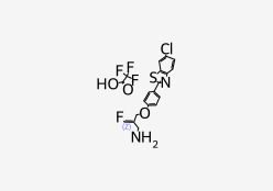 NC/C(=C/F)COc1ccc(-c2nc3ccc(Cl)cc3s2)cc1.O=C(O)C(F)(F)F